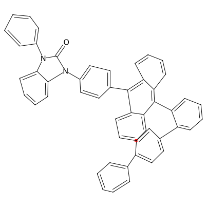 O=c1n(-c2ccccc2)c2ccccc2n1-c1ccc(-c2c3ccccc3c(-c3ccccc3-c3ccc(-c4ccccc4)cc3)c3ccccc23)cc1